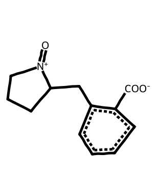 O=C([O-])c1ccccc1CC1CCC[N+]1=O